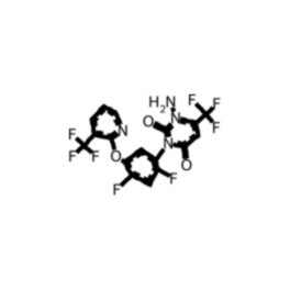 Nn1c(C(F)(F)F)cc(=O)n(-c2cc(Oc3ncccc3C(F)(F)F)c(F)cc2F)c1=O